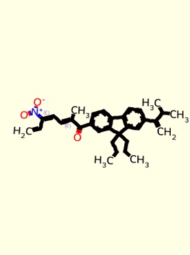 C=C/C(=C\C=C(/C)C(=O)c1ccc2c(c1)C(CCC)(CCC)c1cc(C(=C)C(C)C)ccc1-2)[N+](=O)[O-]